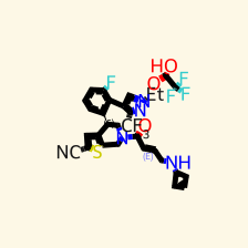 CCn1cc(-c2c(F)cccc2[C@@H]2CN(C(=O)/C=C/CNC34CC(C3)C4)Cc3sc(C#N)cc32)c(C(F)(F)F)n1.O=C(O)C(F)(F)F